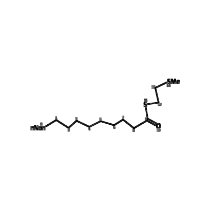 CCCCCCCCCCCCCCCCCC(=O)SCCSC